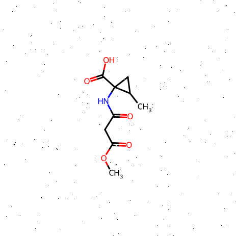 COC(=O)CC(=O)NC1(C(=O)O)CC1C